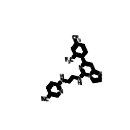 N#Cc1ccc(NCCNc2nc(-c3ccc(C(F)(F)F)cc3C(F)(F)F)cc3nccn23)nc1